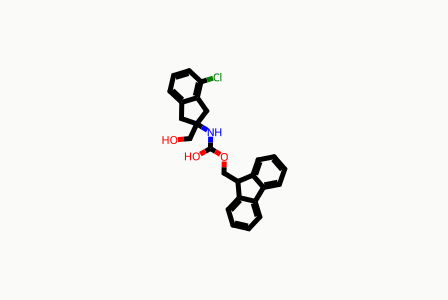 OCC1(NC(O)OCC2c3ccccc3-c3ccccc32)Cc2cccc(Cl)c2C1